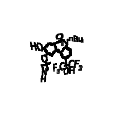 CCCCn1c(=O)c2cc(O)c(OC3(C)CNC3)cc2c2cc(C(O)(C(F)(F)F)C(F)(F)F)ccc21